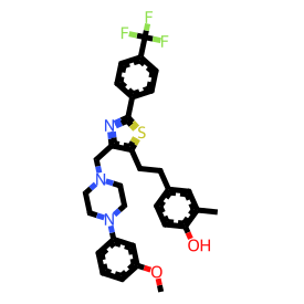 COc1cccc(N2CCN(Cc3nc(-c4ccc(C(F)(F)F)cc4)sc3CCc3ccc(O)c(C)c3)CC2)c1